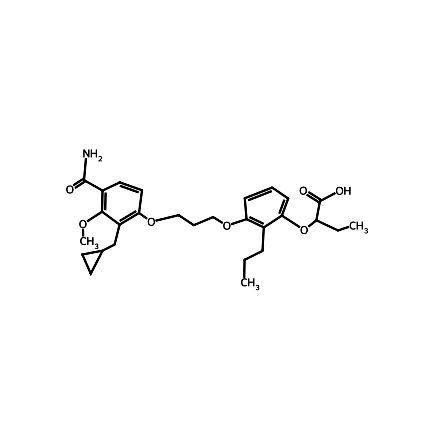 CCCc1c(OCCCOc2ccc(C(N)=O)c(OC)c2CC2CC2)cccc1OC(CC)C(=O)O